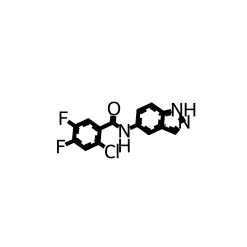 O=C(Nc1ccc2[nH]ncc2c1)c1cc(F)c(F)cc1Cl